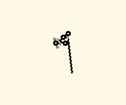 CCCCCCCCCCCCCCCCCCCCn1c2ccccc2c2ccc(-c3nc4c(Br)ccc(Br)c4nc3-c3ccccc3)cc21